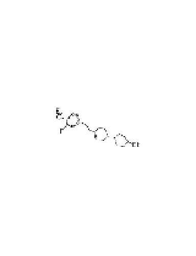 CCOc1ccc(CCC2=CCC([C@H]3CC[C@H](CC)CC3)CC2)cc1F